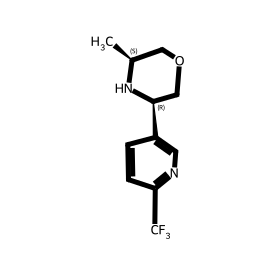 C[C@H]1COC[C@@H](c2ccc(C(F)(F)F)nc2)N1